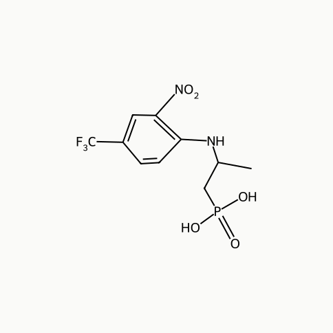 CC(CP(=O)(O)O)Nc1ccc(C(F)(F)F)cc1[N+](=O)[O-]